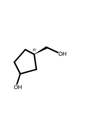 OC[C@@H]1CC[C](O)C1